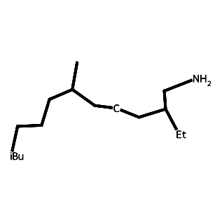 CCC(C)CCCC(C)CCCC(CC)CN